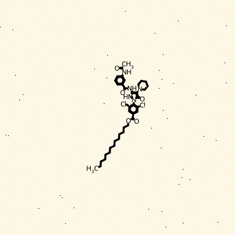 CCCCCCCCCCCCCCOC(=O)c1cc(Cl)c(-n2[nH]c(NC(=O)c3cccc(NC(C)=O)c3)c(N3CCCCC3)c2=O)c(Cl)c1